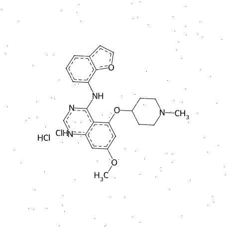 COc1cc(OC2CCN(C)CC2)c2c(Nc3cccc4ccoc34)ncnc2c1.Cl.Cl